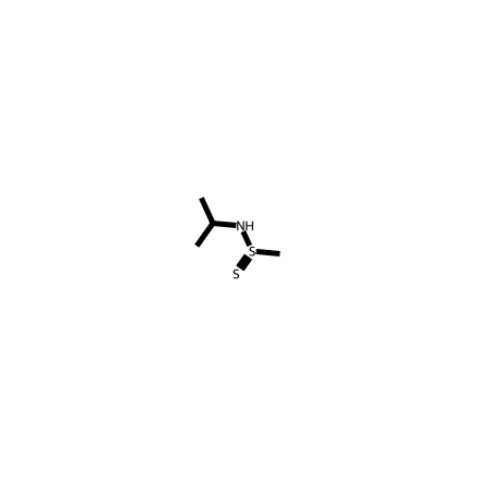 CC(C)NS(C)=S